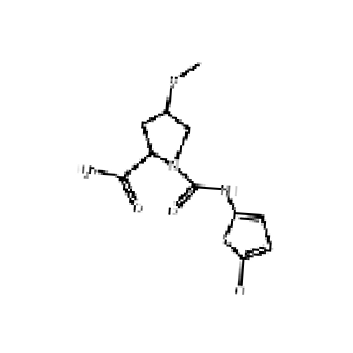 COC1CC(C(N)=O)N(C(=O)Nc2ccc(Cl)s2)C1